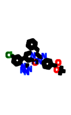 CC(C)(C)OC(=O)c1ccc2[nH]c([C@H](Cc3ccccc3)n3ccc(-c4cc(Cl)ccc4-n4cnnn4)cc3=O)nc2c1